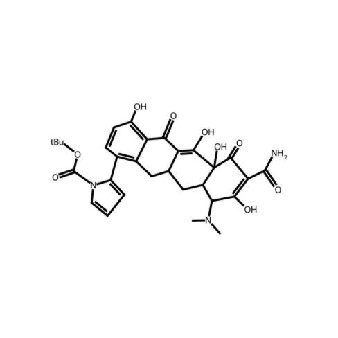 CN(C)C1C(O)=C(C(N)=O)C(=O)C2(O)C(O)=C3C(=O)c4c(O)ccc(-c5cccn5C(=O)OC(C)(C)C)c4CC3CC12